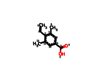 C=Cc1c(C)cc(C(=O)O)cc1C